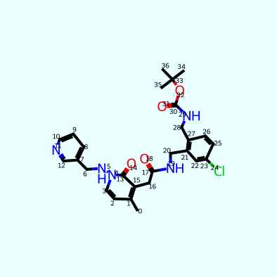 Cc1ccn(NCc2cccnc2)c(=O)c1CC(=O)NCc1cc(Cl)ccc1CNC(=O)OC(C)(C)C